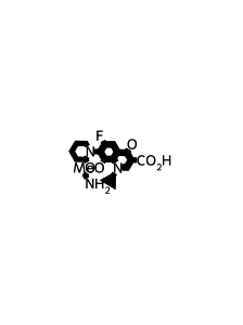 COc1c(N2CCCCC2OCN)c(F)cc2c(=O)c(C(=O)O)cn(C3CC3)c12